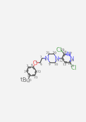 CC(C)(C)c1ccc(OCCN2CCN(c3cc(Cl)nnc3Cl)CC2)cc1